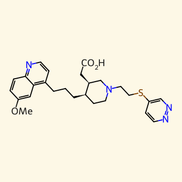 COc1ccc2nccc(CCC[C@@H]3CCN(CCSc4ccnnc4)C[C@@H]3CC(=O)O)c2c1